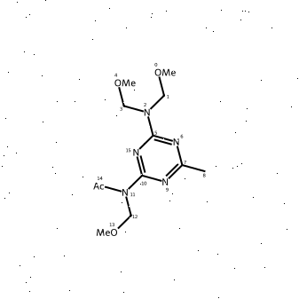 COCN(COC)c1nc(C)nc(N(COC)C(C)=O)n1